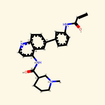 C=CC(=O)Nc1cccc(-c2ccc3nccc(NC(=O)C4CCCN(C)C4)c3c2)c1